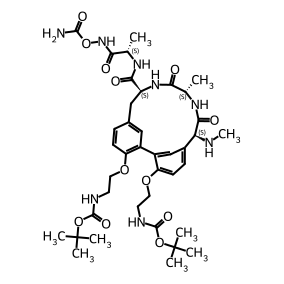 CN[C@@H]1C(=O)N[C@@H](C)C(=O)N[C@H](C(=O)N[C@@H](C)C(=O)NOC(N)=O)Cc2ccc(OCCNC(=O)OC(C)(C)C)c(c2)-c2cc1ccc2OCCNC(=O)OC(C)(C)C